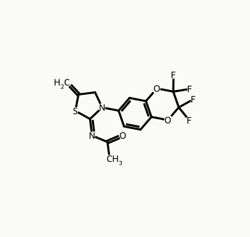 C=C1CN(c2ccc3c(c2)OC(F)(F)C(F)(F)O3)/C(=N\C(C)=O)S1